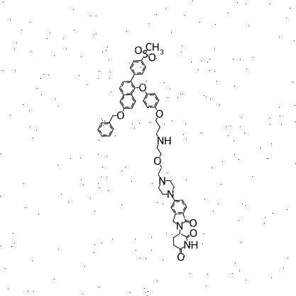 CS(=O)(=O)c1ccc(-c2ccc3cc(OCc4ccccc4)ccc3c2Oc2ccc(OCCCNCCOCCN3CCN(c4ccc5c(c4)CN(C4CCC(=O)NC4=O)C5=O)CC3)cc2)cc1